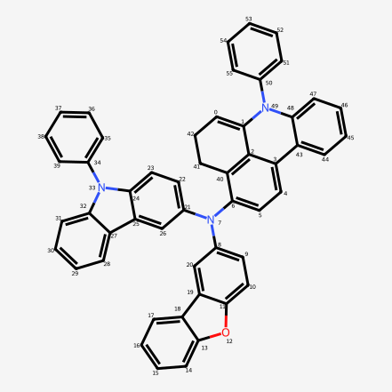 C1=C2c3c(ccc(N(c4ccc5oc6ccccc6c5c4)c4ccc5c(c4)c4ccccc4n5-c4ccccc4)c3CC1)-c1ccccc1N2c1ccccc1